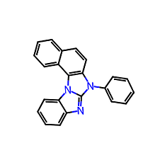 c1ccc(-n2c3ccc4ccccc4c3n3c4ccccc4nc23)cc1